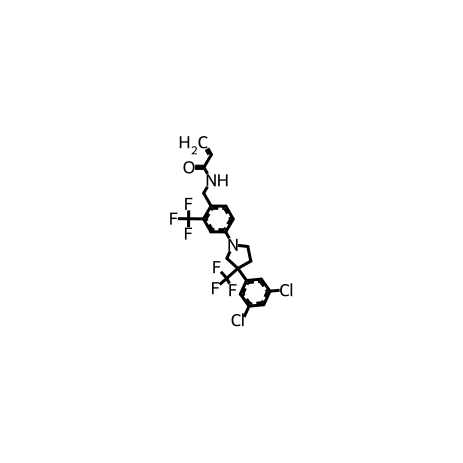 C=CC(=O)NCc1ccc(N2CCC(c3cc(Cl)cc(Cl)c3)(C(F)(F)F)C2)cc1C(F)(F)F